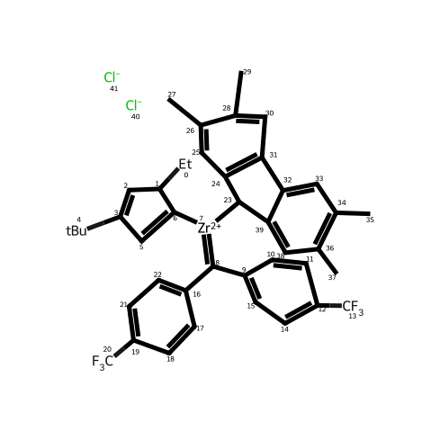 CCC1C=C(C(C)(C)C)C=[C]1[Zr+2](=[C](c1ccc(C(F)(F)F)cc1)c1ccc(C(F)(F)F)cc1)[CH]1c2cc(C)c(C)cc2-c2cc(C)c(C)cc21.[Cl-].[Cl-]